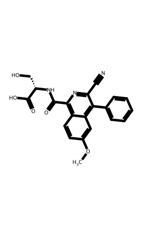 COc1ccc2c(C(=O)N[C@@H](CO)C(=O)O)nc(C#N)c(-c3ccccc3)c2c1